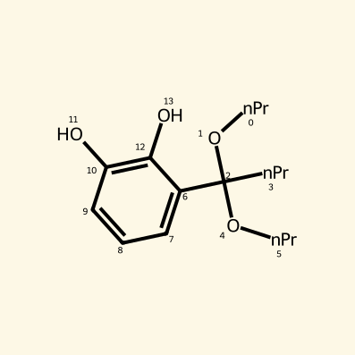 CCCOC(CCC)(OCCC)c1cccc(O)c1O